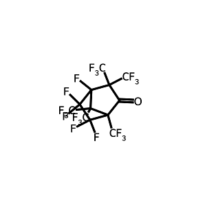 O=C1C(C(F)(F)F)(C(F)(F)F)C2(F)C(F)(F)C(F)(F)C1(C(F)(F)F)C2(C(F)(F)F)C(F)(F)F